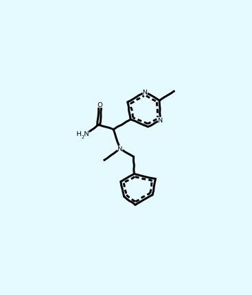 Cc1ncc(C(C(N)=O)N(C)Cc2ccccc2)cn1